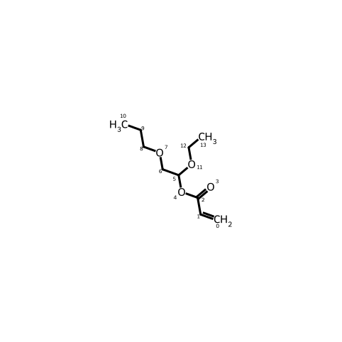 C=CC(=O)OC(COCCC)OCC